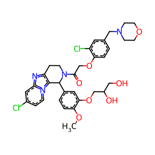 COc1ccc(C2c3c(nc4cc(Cl)ccn34)CCN2C(=O)COc2ccc(CN3CCOCC3)cc2Cl)cc1OCC(O)CO